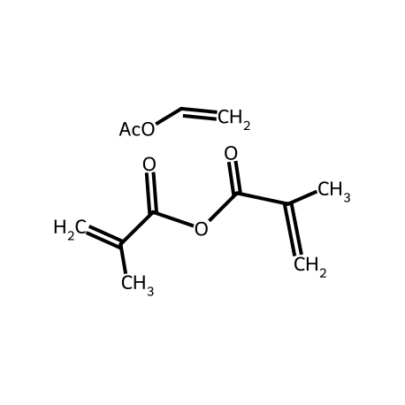 C=C(C)C(=O)OC(=O)C(=C)C.C=COC(C)=O